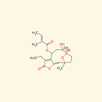 C/C=C(\C)C(=O)OC1CC(C)(O)C2(O)CCC(C)(/C=C3\OC(=O)C(COC(C)=O)=C31)O2